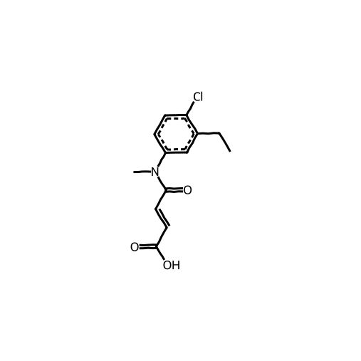 CCc1cc(N(C)C(=O)/C=C/C(=O)O)ccc1Cl